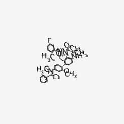 COc1cc(N(C)C(=O)c2ccccc2)ccc1-c1ccc2c(c1COc1cc(F)ccc1C)NC(=O)C(C)(C)N2